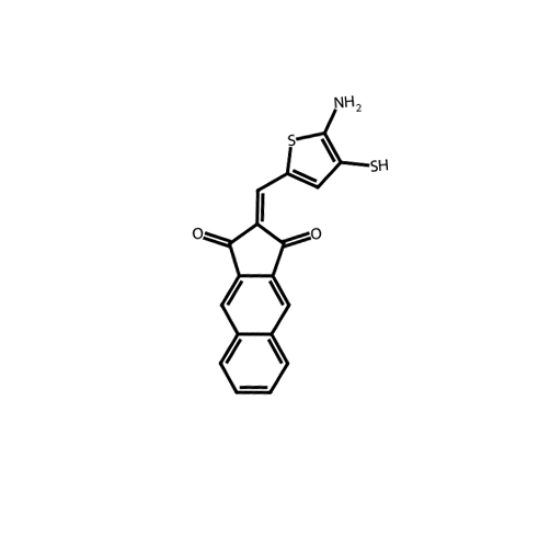 Nc1sc(C=C2C(=O)c3cc4ccccc4cc3C2=O)cc1S